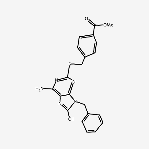 COC(=O)c1ccc(CSc2nc(N)c3nc(O)n(Cc4ccccc4)c3n2)cc1